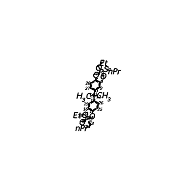 CCCSP(=O)(OCC)Oc1ccc(C(C)(C)c2ccc(OP(=O)(OCC)SCCC)cc2)cc1